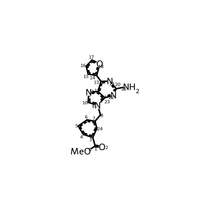 COC(=O)c1cccc(Cn2cnc3c(-c4ccco4)nc(N)nc32)c1